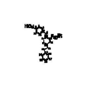 C#Cc1ccc(CN2CCC(CCc3ccccc3)CC2COCC)cc1